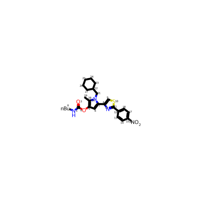 CCCCNC(=O)Oc1cc(-c2csc(-c3ccc([N+](=O)[O-])cc3)n2)n(CC2CCCCC2)c1C